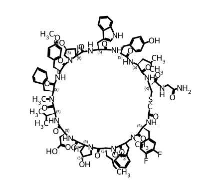 CCCC[C@H]1C(=O)N2C[C@@H](O)C[C@@H]2C(=O)N[C@@H](CC(=O)O)C(=O)N[C@@H](C(C)C)C(=O)N(C)[C@@H](Cc2ccccc2)C(=O)N[C@@H](Cc2ccc(OC)cc2)C(=O)N2C[C@@H](O)C[C@@H]2C(=O)N[C@@H](Cc2c[nH]c3ccccc23)C(=O)N[C@@H](Cc2ccc(O)cc2)C(=O)N[C@@H](CC(C)C)C(=O)N[C@H](C(=O)NCC(N)=O)CSCC(=O)N[C@@H](Cc2ccc(F)c(F)c2)C(=O)N(C)C(Cc2ccccc2)C(=O)N1C